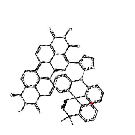 CC(C)N1C(=O)C2=C3C(=C(c4ccsc4N4c5ccccc5C5(c6ccccc64)c4ccccc4C(C)(C)c4ccccc45)C=C4C5=c6c7c(ccc6=C(C=C2)C43)C(=O)N(C(C)C)C(=O)C7C=C5)C1=O